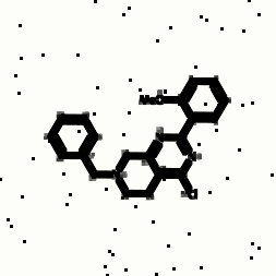 COc1ccccc1-c1nc(Cl)c2c(n1)CN(Cc1ccccc1)CC2